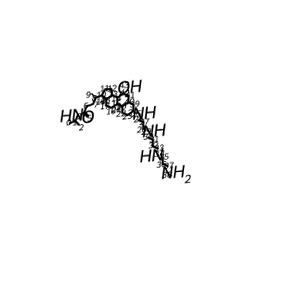 CC(C)NC(=O)CC[C@@H](C)C1CCC2C3C(CC[C@@]21C)[C@@]1(C)CC[C@H](NCCCNCCCCNCCCN)CC1C[C@H]3O